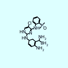 BC(N)C1=C(N)C=CC(NC2N=C(Nc3ccccc3P(C)(C)=O)C(Cl)=CN2)C1